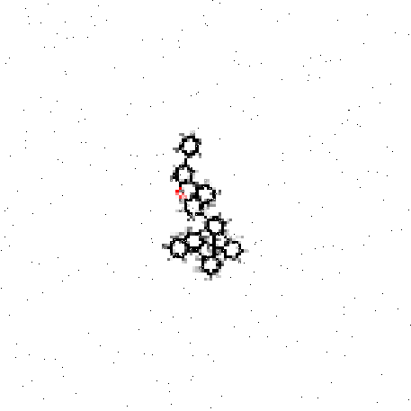 c1ccc(-c2ccc3c(c2)-c2cccc4c(-c5ccc6c(c5)C5(c7ccccc7-6)c6ccccc6-c6c5ccc5ccccc65)ccc(c24)O3)cc1